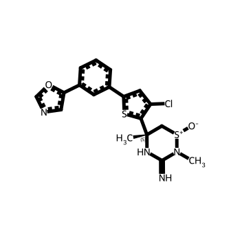 CN1C(=N)N[C@](C)(c2sc(-c3cccc(-c4cnco4)c3)cc2Cl)C[S+]1[O-]